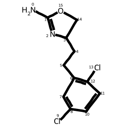 NC1=NC(CCc2cc(Cl)ccc2Cl)CO1